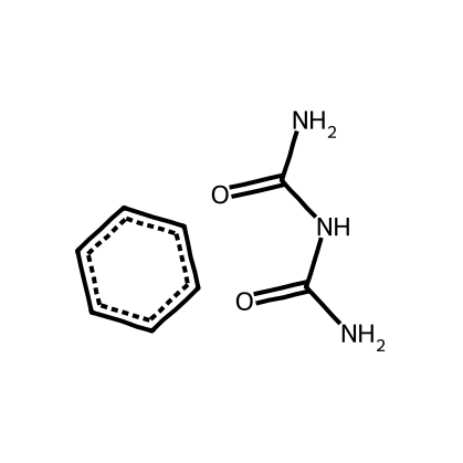 NC(=O)NC(N)=O.c1ccccc1